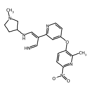 Cc1nc([N+](=O)[O-])ccc1Oc1ccnc(/C(C=N)=C/NC2CCN(C)C2)c1